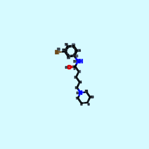 O=C(CCCCN1CCCCC1)Nc1cccc(Br)c1